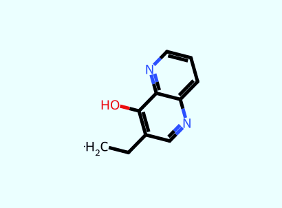 [CH2]Cc1cnc2cccnc2c1O